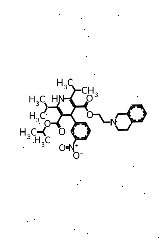 CC(C)OC(=O)C1=C(C(C)C)NC(C(C)C)=C(C(=O)OCCN2CCc3ccccc3C2)C1c1cccc([N+](=O)[O-])c1